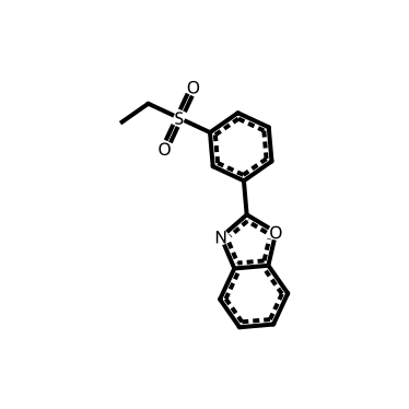 CCS(=O)(=O)c1cccc(-c2nc3ccccc3o2)c1